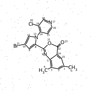 Cc1cc(C)c2nc(-c3cc(Br)cn3-c3ccncc3Cl)oc(=O)c2c1